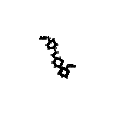 COc1cccnc1N1CCN(CC[C@H]2CC[C@H](NC(C)=O)CC2)CC1